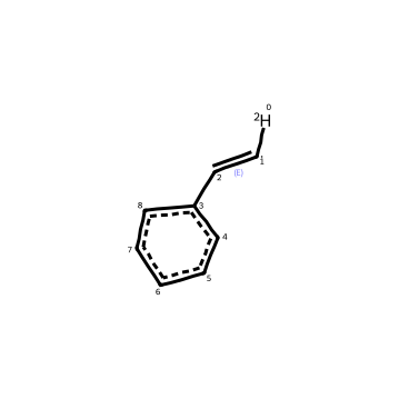 [2H]/[C]=C/c1ccccc1